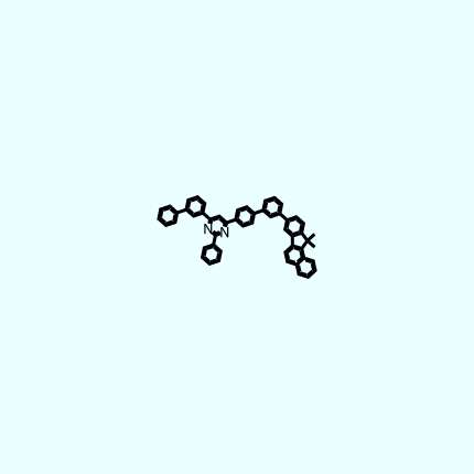 CC1(C)c2ccc(-c3cccc(-c4ccc(-c5cc(-c6cccc(-c7ccccc7)c6)nc(-c6ccccc6)n5)cc4)c3)cc2-c2ccc3ccccc3c21